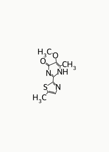 COc1c(C)[nH]c(-c2ncc(C)s2)nc1=O